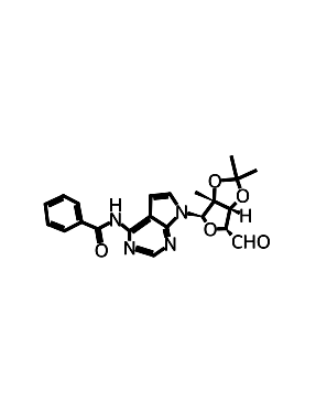 CC1(C)O[C@@H]2[C@@H](C=O)O[C@@H](n3ccc4c(NC(=O)c5ccccc5)ncnc43)[C@]2(C)O1